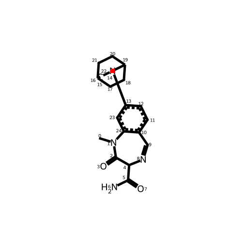 CN1C(=O)C(C(N)=O)N=Cc2ccc(N3CC4CCC(CC4)C3)cc21